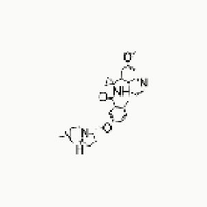 COc1cc(C2(NC(=O)c3cc(OC[C@@H]4CC[C@@H]5CN(C)CCN54)ccc3C)CC2)c2cccnc2c1